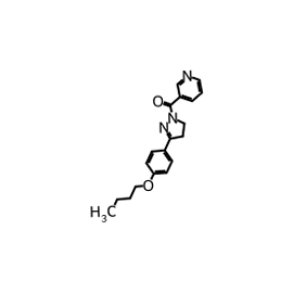 CCCCOc1ccc(C2=NN(C(=O)c3cccnc3)CC2)cc1